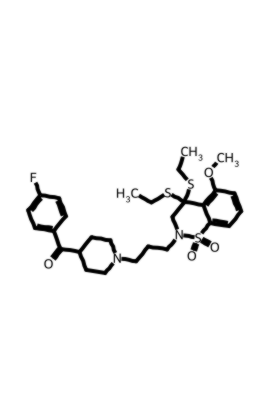 CCSC1(SCC)CN(CCCN2CCC(C(=O)c3ccc(F)cc3)CC2)S(=O)(=O)c2cccc(OC)c21